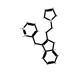 C1=CCN(CCC2=C(Cc3cccnn3)c3ccccc3C2)C1